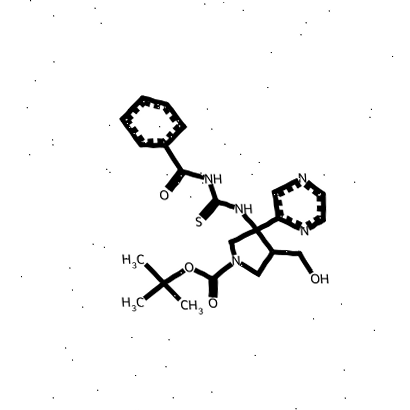 CC(C)(C)OC(=O)N1CC(CO)C(NC(=S)NC(=O)c2ccccc2)(c2cnccn2)C1